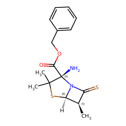 C[C@@H]1C(=S)N2[C@@H]1SC(C)(C)[C@]2(N)C(=O)OCc1ccccc1